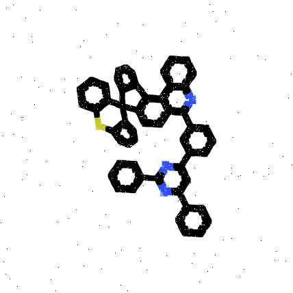 c1ccc(-c2cc(-c3cccc(-c4nc5ccccc5c5c6c(ccc45)C4(c5ccccc5Sc5ccccc54)c4ccccc4-6)c3)nc(-c3ccccc3)n2)cc1